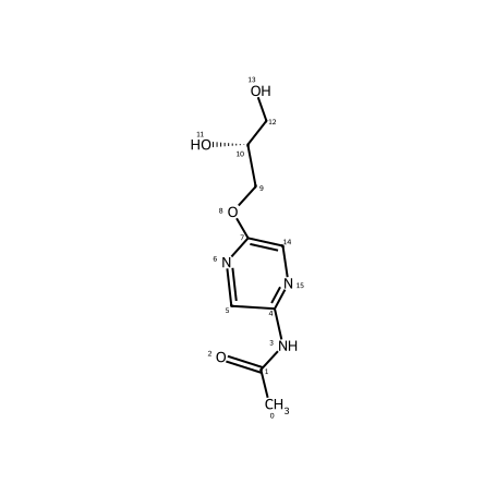 CC(=O)Nc1cnc(OC[C@H](O)CO)cn1